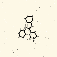 C1CCC(/N=C(\NC2CCCCC2)N2CCNCC2)CC1